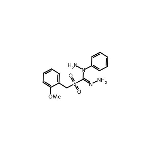 COc1ccccc1CS(=O)(=O)/C(=N/N)N(N)c1ccccc1